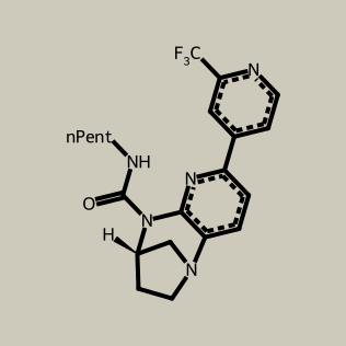 CCCCCNC(=O)N1c2nc(-c3ccnc(C(F)(F)F)c3)ccc2N2CC[C@H]1C2